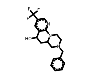 OC1CC2CN(Cc3ccccc3)CCN2c2ncc(C(F)(F)F)cc21